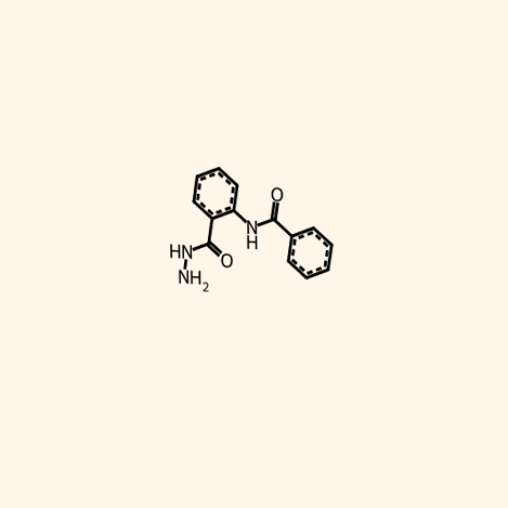 NNC(=O)c1ccccc1NC(=O)c1ccccc1